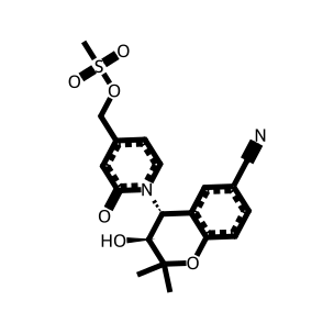 CC1(C)Oc2ccc(C#N)cc2[C@@H](n2ccc(COS(C)(=O)=O)cc2=O)[C@@H]1O